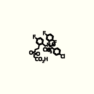 C[C@H](c1ccc(F)cc1CCS(=O)(=O)CC(=O)O)N(c1cc(F)ccc1F)S(=O)(=O)c1ccc(Cl)cc1